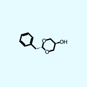 O[C@H]1CO[C@H](Cc2ccccc2)OC1